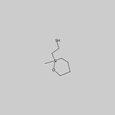 C[Si]1(CCS)CCCCO1